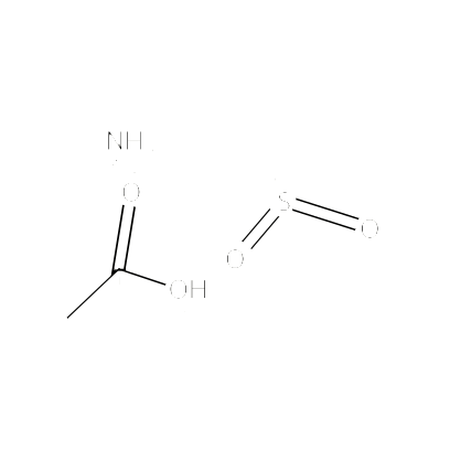 CC(=O)O.N.O=S=O